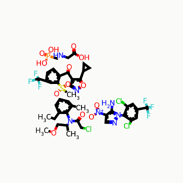 CCc1cccc(C)c1N(C(=O)CCl)C(C)COC.CS(=O)(=O)c1cc(C(F)(F)F)ccc1C(=O)c1cnoc1C1CC1.Nc1c([N+](=O)[O-])cnn1-c1c(Cl)cc(C(F)(F)F)cc1Cl.O=C(O)CNCP(=O)(O)O